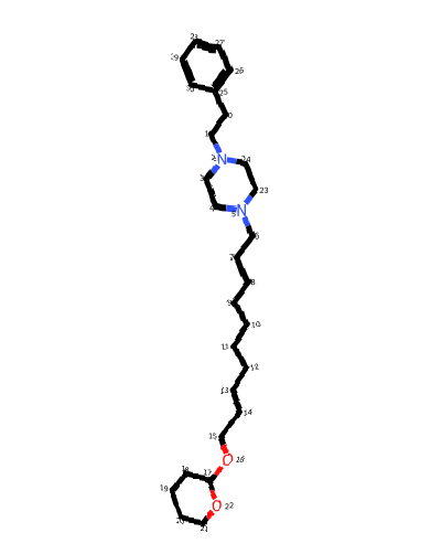 [CH]([CH]N1CCN(CCCCCCCCCCOC2CCCCO2)CC1)c1ccccc1